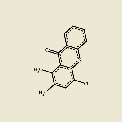 Cc1cc(Cl)c2sc3ccccc3c(=O)c2c1C